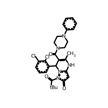 CC1=C(C(=O)N2CCN(c3ccccc3)CC2)C(c2cccc(Cl)c2Cl)n2c(cc(=O)n2C(=O)C(C)(C)C)N1